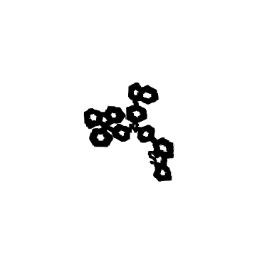 c1ccc(C2(c3cccc(N(c4ccc(-c5cccc6ccccc56)cc4)c4ccc(-c5cccc6c5sc5ccccc56)cc4)c3)c3ccccc3-c3ccccc32)cc1